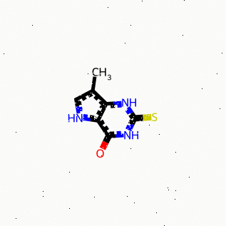 Cc1c[nH]c2c(=O)[nH]c(=S)[nH]c12